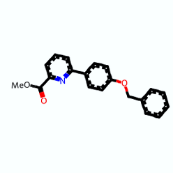 COC(=O)c1cccc(-c2ccc(OCc3ccccc3)cc2)n1